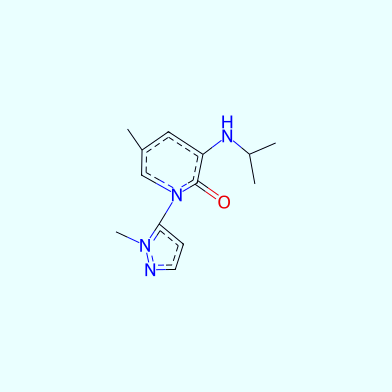 Cc1cc(NC(C)C)c(=O)n(-c2ccnn2C)c1